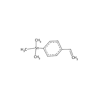 C=Cc1cc[c]([Sn]([CH3])([CH3])[CH3])cc1